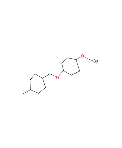 CCCCOC1CCC(OCC2CCC(C)CC2)CC1